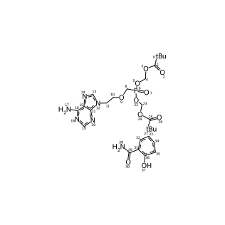 CC(C)(C)C(=O)OCOP(=O)(COCCn1cnc2c(N)ncnc21)OCOC(=O)C(C)(C)C.NC(=O)c1ccccc1O